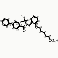 [2H]C(C)(C)N(Cc1ccccc1OCCCCCC(=O)O)C(=O)c1ccc(-c2cccnc2)cc1